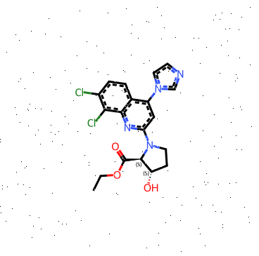 CCOC(=O)[C@@H]1[C@@H](O)CCN1c1cc(-n2ccnc2)c2ccc(Cl)c(Cl)c2n1